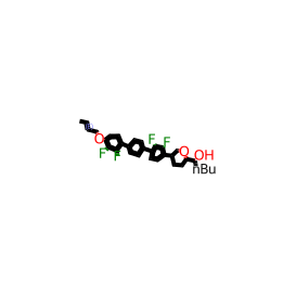 C/C=C/COc1ccc(-c2ccc(-c3ccc(C4CCC(C(O)CCCC)OC4)c(F)c3F)cc2)c(F)c1F